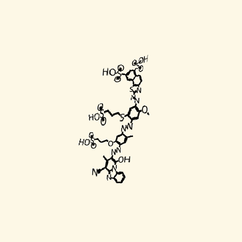 COc1cc(N=Nc2cc(OCCCS(=O)(=O)O)c(N=Nc3c(C)c(C#N)c4nc5ccccc5n4c3O)cc2C)c(SCCCS(=O)(=O)O)cc1N=Nc1nc2ccc3c(S(=O)(=O)O)cc(S(=O)(=O)O)cc3c2s1